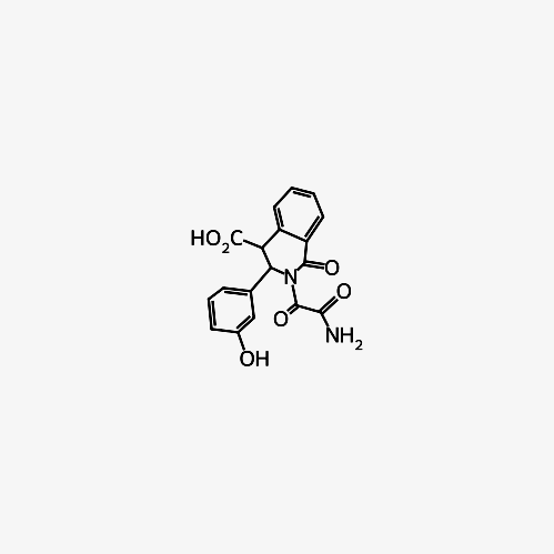 NC(=O)C(=O)N1C(=O)c2ccccc2C(C(=O)O)C1c1cccc(O)c1